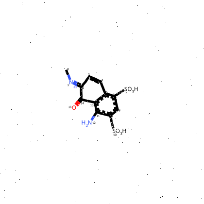 C/N=C1\C=Cc2c(S(=O)(=O)O)cc(S(=O)(=O)O)c(N)c2C1=O